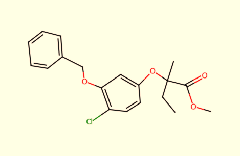 CCC(C)(Oc1ccc(Cl)c(OCc2ccccc2)c1)C(=O)OC